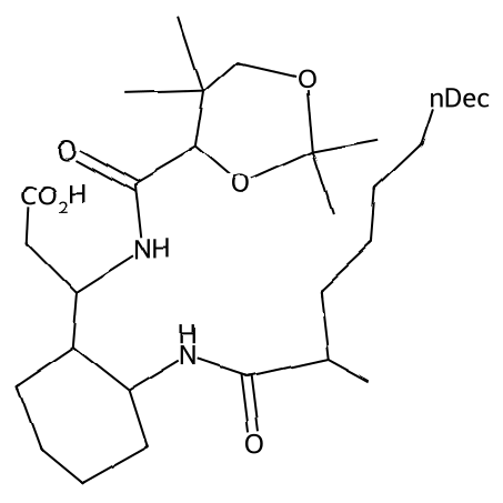 CCCCCCCCCCCCCCC(C)C(=O)NC1CCCCC1C(CC(=O)O)NC(=O)C1OC(C)(C)OCC1(C)C